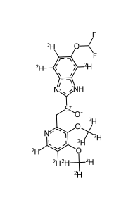 [2H]c1nc(C[S+]([O-])c2nc3c([2H])c([2H])c(OC(F)F)c([2H])c3[nH]2)c(OC([2H])([2H])[2H])c(OC([2H])([2H])[2H])c1[2H]